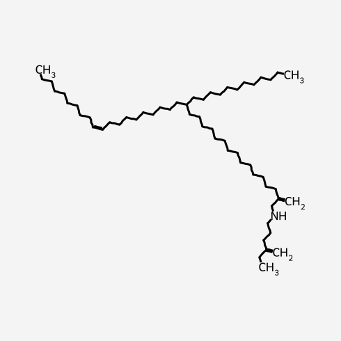 C=C(CC)CCCNCC(=C)CCCCCCCCCCCCCCC(CCCCCCCCC/C=C\CCCCCCCCC)CCCCCCCCCCCC